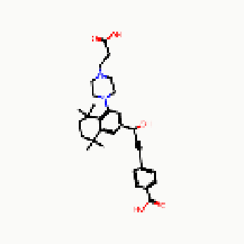 CC1(C)CCC(C)(C)c2c(N3CCN(CCC(=O)O)CC3)cc(C(O)C#Cc3ccc(C(=O)O)cc3)cc21